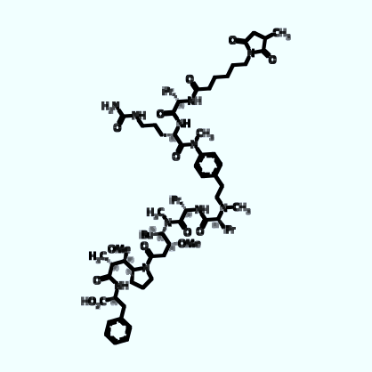 CC[C@H](C)[C@@H]([C@@H](CC(=O)N1CCC[C@H]1[C@H](OC)[C@@H](C)C(=O)N[C@@H](Cc1ccccc1)C(=O)O)OC)N(C)C(=O)[C@@H](NC(=O)[C@H](C(C)C)N(C)CCc1ccc(N(C)C(=O)[C@H](CCCNC(N)=O)NC(=O)[C@@H](NC(=O)CCCCCN2C(=O)CC(C)C2=O)C(C)C)cc1)C(C)C